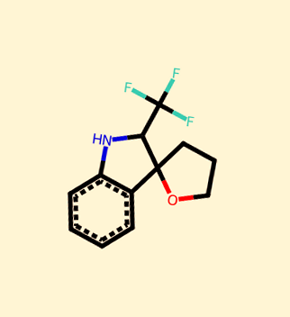 FC(F)(F)C1Nc2ccccc2C12CCCO2